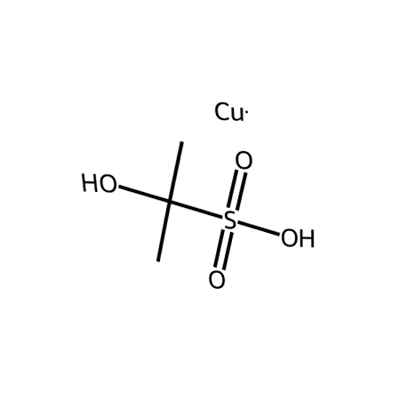 CC(C)(O)S(=O)(=O)O.[Cu]